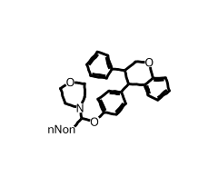 CCCCCCCCCC(Oc1ccc(C2c3ccccc3OCC2c2ccccc2)cc1)N1CCOCC1